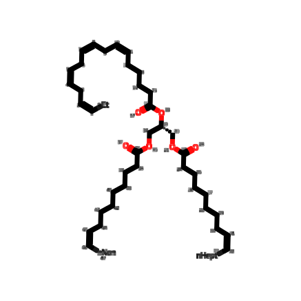 CC/C=C\C/C=C\C/C=C\C/C=C\CCCCC(=O)O[C@H](COC(=O)CCCCCCC/C=C\CCCCCCC)COC(=O)CCCCCCC/C=C\CCCCCCCCC